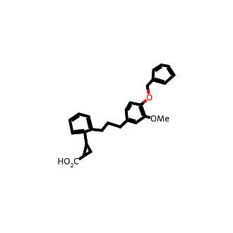 COc1cc(CCCc2ccccc2C2CC2C(=O)O)ccc1OCc1ccccc1